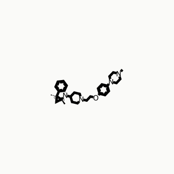 CN1CCN(c2ccc(OCCN3CCC(N(C)[C@]4(C)C[C@@]4(C)c4ccccc4)CC3)cc2)CC1